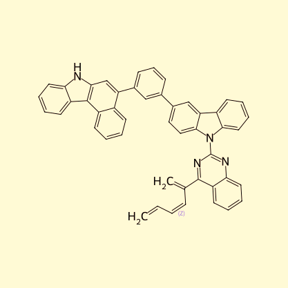 C=C/C=C\C(=C)c1nc(-n2c3ccccc3c3cc(-c4cccc(-c5cc6[nH]c7ccccc7c6c6ccccc56)c4)ccc32)nc2ccccc12